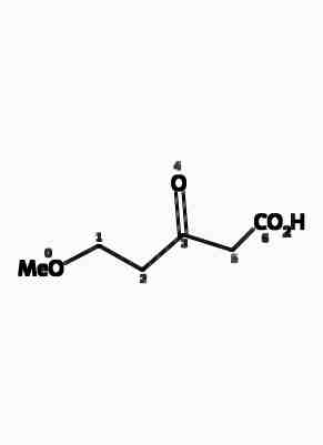 COCCC(=O)CC(=O)O